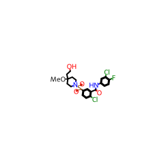 COC1(CCO)CCN(S(=O)(=O)c2ccc(Cl)c(C(=O)Nc3ccc(F)c(Cl)c3)c2)CC1